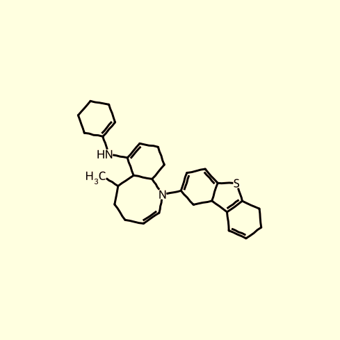 CC1CC/C=C\N(C2=CC=C3SC4=C(C=CCC4)C3C2)C2CCC=C(NC3=CCCCC3)C12